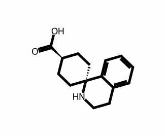 O=C(O)[C@H]1CC[C@@]2(CC1)NCCc1ccccc12